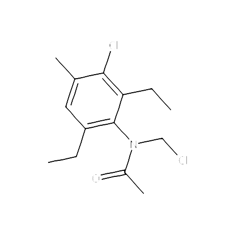 CCc1cc(C)c(Cl)c(CC)c1N(CCl)C(C)=O